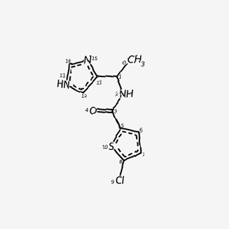 CC(NC(=O)c1ccc(Cl)s1)c1c[nH]cn1